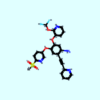 CCS(=O)(=O)c1ccc(Oc2cc(C#Cc3ccccn3)c(N)cc2Oc2cccnc2OC(F)F)cn1